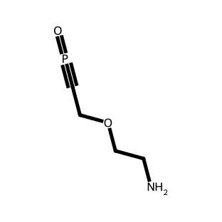 NCCOCC#P=O